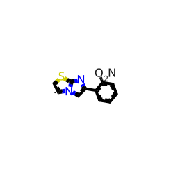 O=[N+]([O-])c1ccccc1-c1cn2[c]csc2n1